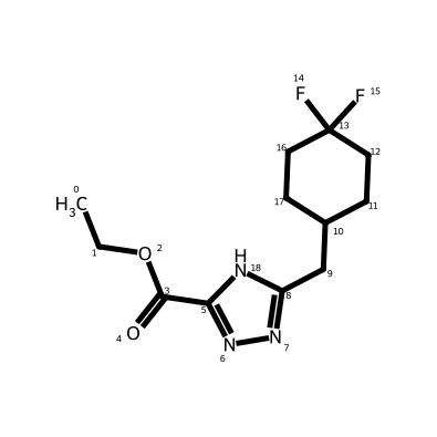 CCOC(=O)c1nnc(CC2CCC(F)(F)CC2)[nH]1